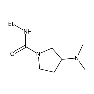 CCNC(=O)N1CCC(N(C)C)C1